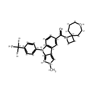 Cn1cc2c3cc(C(=O)N4CCC45CCCOCC5)ccc3n(-c3ccc(C(F)(F)F)cc3)c2n1